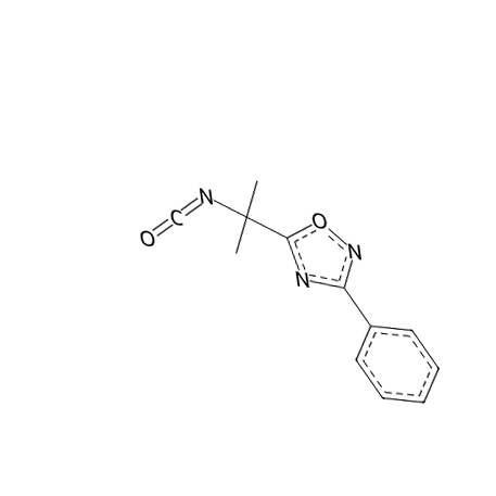 CC(C)(N=C=O)c1nc(-c2ccccc2)no1